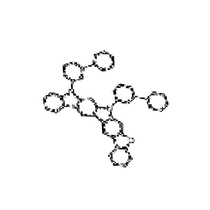 c1ccc(-c2cccc(-n3c4ccccc4c4cc5c6cc7c(cc6n(-c6cccc(-c8ccccc8)c6)c5cc43)oc3ccccc37)c2)cc1